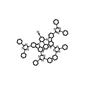 N#Cc1cc(-n2c3ccc(-c4nc(-c5ccccc5)nc(-c5ccccc5)n4)cc3c3cc(-c4nc(-c5ccccc5)nc(-c5ccccc5)n4)ccc32)c(-c2cc(F)cc(F)c2)c(-n2c3ccc(-c4nc(-c5ccccc5)nc(-c5ccccc5)n4)cc3c3cc(-c4nc(-c5ccccc5)nc(-c5ccccc5)n4)ccc32)c1